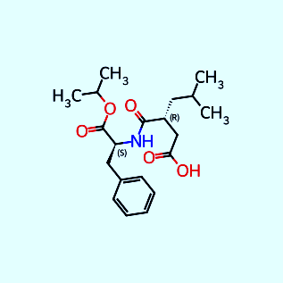 CC(C)C[C@H](CC(=O)O)C(=O)N[C@@H](Cc1ccccc1)C(=O)OC(C)C